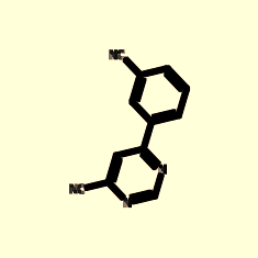 N#Cc1cccc(-c2cc(C#N)ncn2)c1